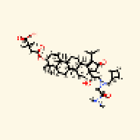 CC(C)C1=C2[C@H]3CC[C@@H]4[C@@]5(C)CC[C@H](OC(=O)CC(C)(C)C(=O)O)C(C)(C)[C@@H]5CC[C@@]4(C)[C@]3(C)CC[C@@]2([C@@H](O)CN(CC(=O)N(C)C)CC2CCC2)CC1=O